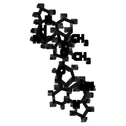 Cc1c(-c2ccc(C34[C](CCCC3=C=O)N3CCCC3c3ncc4[nH]3)cc2)ccc([C@@]23[C](CCCC2=C=O)N2CCCC2c2ncc3[nH]2)c1C